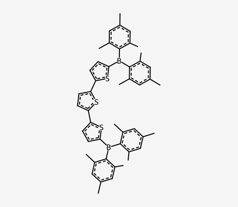 Cc1cc(C)c(B(c2ccc(-c3ccc(-c4ccc(B(c5c(C)cc(C)cc5C)c5c(C)cc(C)cc5C)s4)s3)s2)c2c(C)cc(C)cc2C)c(C)c1